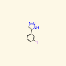 Ic1cccc(-c2cnn[nH]2)c1